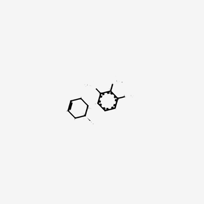 COc1ccc([C@H]2CC=CC[C@@H]2[N+](=O)[O-])c(OC)c1OC